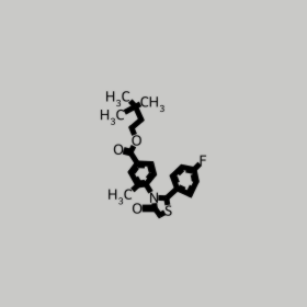 Cc1cc(C(=O)OCCC(C)(C)C)ccc1N1C(=O)CSC1c1ccc(F)cc1